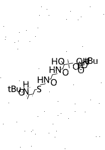 CC(CCSCCNC(=O)CCNC(=O)C(O)C(C)(C)COP(=O)(O)OC(C)(C)C)NOC(C)(C)C